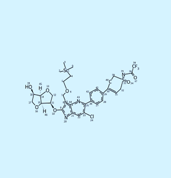 C[Si](C)(C)CCOCn1c(O[C@@H]2CO[C@H]3[C@@H]2OC[C@H]3O)nc2cc(Cl)c(-c3ccc(C4=CCS(=O)(=NC(=O)C(F)(F)F)CC4)cc3)nc21